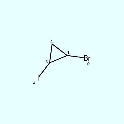 BrC1CC1I